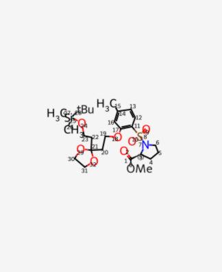 COC(=O)[C@@H]1CCCN1S(=O)(=O)c1ccc(C)cc1OCCC1(CCO[Si](C)(C)C(C)(C)C)OCCO1